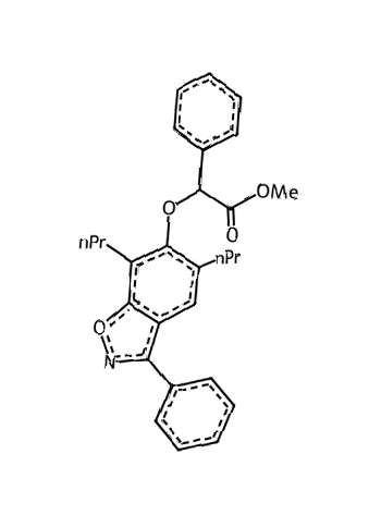 CCCc1cc2c(-c3ccccc3)noc2c(CCC)c1OC(C(=O)OC)c1ccccc1